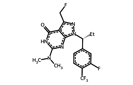 CC[C@H](c1ccc(C(F)(F)F)c(F)c1)n1nc(CF)c2c(=O)[nH]c(N(C)C)nc21